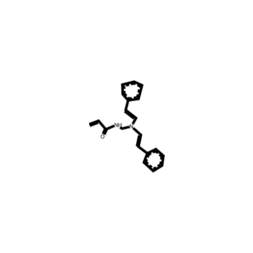 C=CC(=O)NCN(C=Cc1ccccc1)C=Cc1ccccc1